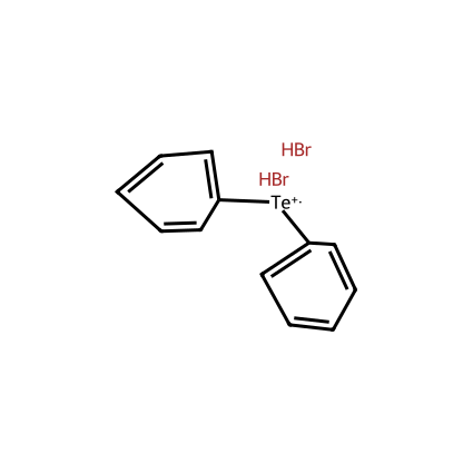 Br.Br.c1ccc([Te+]c2ccccc2)cc1